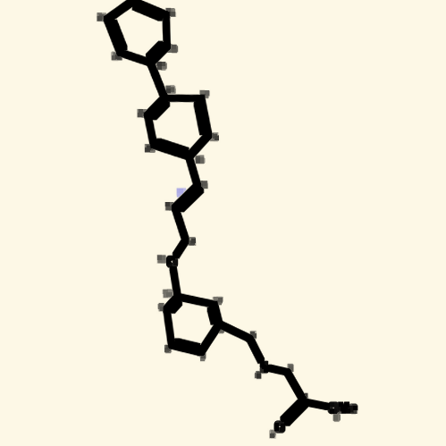 COC(=O)CSCc1cccc(OC/C=C/c2ccc(-c3ccccc3)cc2)c1